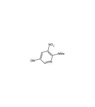 CNc1ncc(N=O)cc1[N+](=O)[O-]